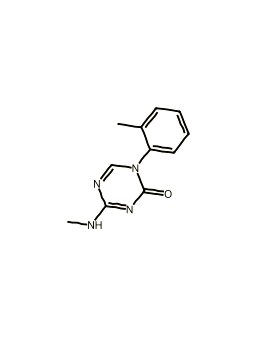 CNc1ncn(-c2ccccc2C)c(=O)n1